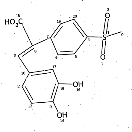 CS(=O)(=O)c1ccc(/C(=C\c2ccc(O)c(O)c2)C(=O)O)cc1